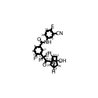 N#Cc1cc(NC(=O)c2ccc(F)c(C(F)(F)C(=O)N3[C@H]4CC5[C@@H]3C[C@]5(O)C4)c2)ccc1F